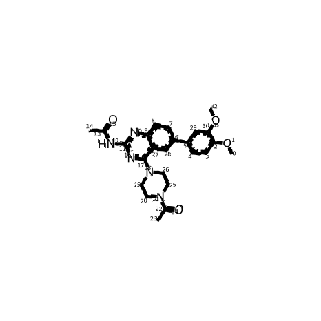 COc1ccc(-c2ccc3nc(NC(C)=O)nc(N4CCN(C(C)=O)CC4)c3c2)cc1OC